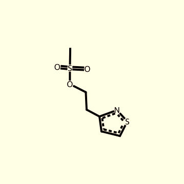 CS(=O)(=O)OCCc1ccsn1